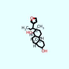 CCC(c1ccoc1)[C@@]1(C)CC[C@H]2[C@@H](CC[C@@H]3C[C@@H](O)CC[C@@]32C)[C@@H]1O